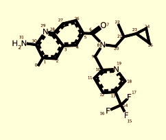 Cc1cc2cc(C(=O)N(Cc3ccc(C(F)(F)F)cn3)CC(C)C3CC3)ccc2nc1N